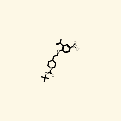 C=C(C)c1cc([N+](=O)[O-])ccc1OCCC1CCN(C(=O)OC(C)(C)C)CC1